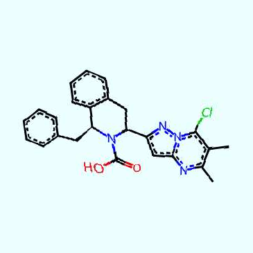 Cc1nc2cc(C3Cc4ccccc4[C@H](Cc4ccccc4)N3C(=O)O)nn2c(Cl)c1C